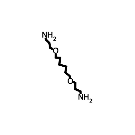 NCCCOCCCCCCOCCCN